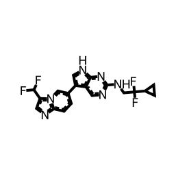 FC(F)c1cnc2ccc(-c3c[nH]c4nc(NCC(F)(F)C5CC5)ncc34)cn12